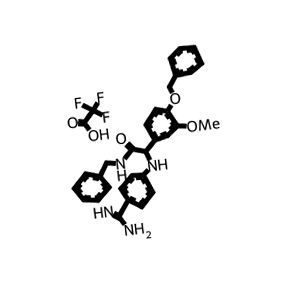 COc1cc(C(Nc2ccc(C(=N)N)cc2)C(=O)NCc2ccccc2)ccc1OCc1ccccc1.O=C(O)C(F)(F)F